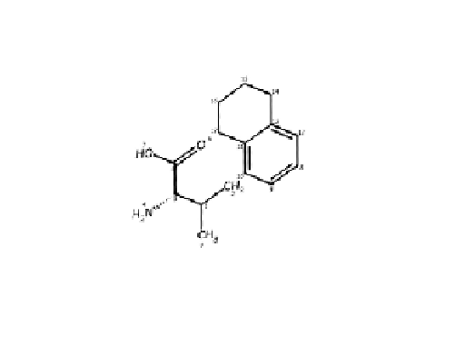 CC(C)[C@H](N)C(=O)O.c1ccc2c(c1)CCCC2